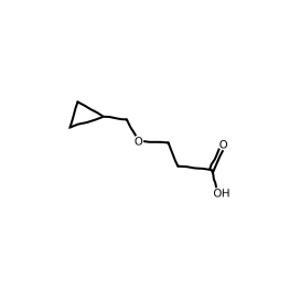 O=C(O)CCOCC1CC1